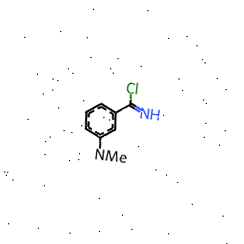 CNc1cccc(C(=N)Cl)c1